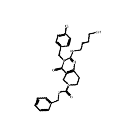 O=C(OCc1ccccc1)N1CCc2nc(NCCCCO)n(Cc3ccc(Cl)cc3)c(=O)c2C1